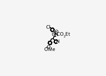 CCOC(=O)N(CCC(Cc1ccc(OCOC)cc1)c1cccnc1)S(=O)(=O)c1ccc(Cl)cc1